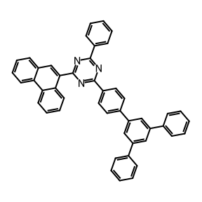 c1ccc(-c2cc(-c3ccccc3)cc(-c3ccc(-c4nc(-c5ccccc5)nc(-c5cc6ccccc6c6ccccc56)n4)cc3)c2)cc1